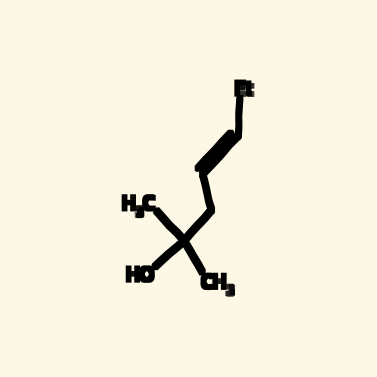 CC/C=C/CC(C)(C)O